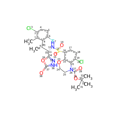 Cc1c(Cl)ccc(F)c1[C@@H](C)[C@H](NS(=O)(=O)c1ccc(Cl)c2c1OCCN2C(=O)OC(C)(C)C)c1n[nH]c(=O)o1